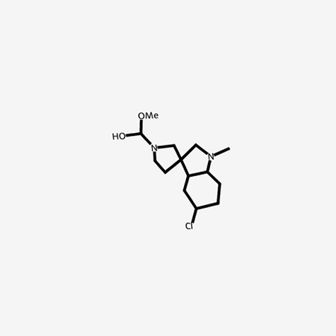 COC(O)N1CCC2(CN(C)C3CCC(Cl)CC32)C1